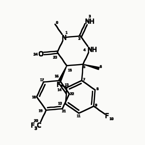 CN1C(=N)N[C@](C)(c2cc(F)ccc2F)[C@@H](c2ccc(C(F)(F)F)cc2)C1=O